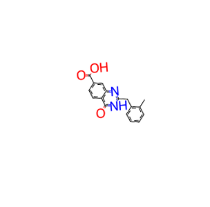 Cc1ccccc1Cc1nc2cc(C(=O)O)ccc2c(=O)[nH]1